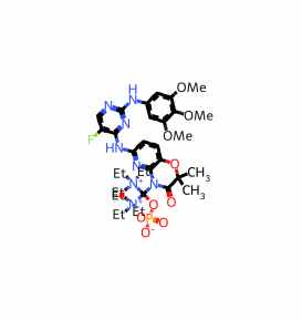 CC[N+](CC)(CC)C(OP(=O)([O-])[O-])(N1C(=O)C(C)(C)Oc2ccc(Nc3nc(Nc4cc(OC)c(OC)c(OC)c4)ncc3F)nc21)[N+](CC)(CC)CC